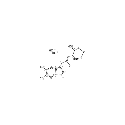 C/C(=C\[C@H]1NCCC[C@@H]1O)Cn1cnc2cc(Cl)c(Cl)cc21.Cl.Cl